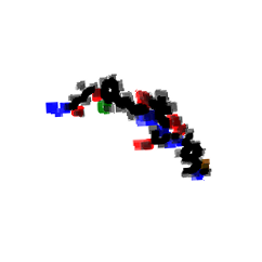 Cc1ncsc1-c1ccc([C@H](C)NC(=O)[C@@H]2C[C@H](O)CN2C(=O)[C@@H](NC(=O)CCCc2cccc(OC[C@@H](C)CCC(N)=O)c2Cl)C(C)(C)C)cc1